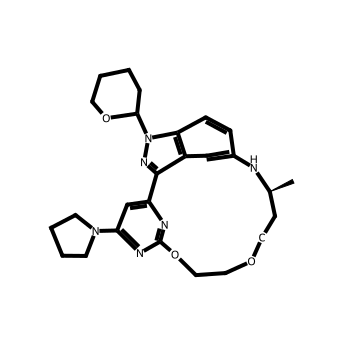 C[C@H]1CCOCCOc2nc(cc(N3CCCC3)n2)-c2nn(C3CCCCO3)c3ccc(cc23)N1